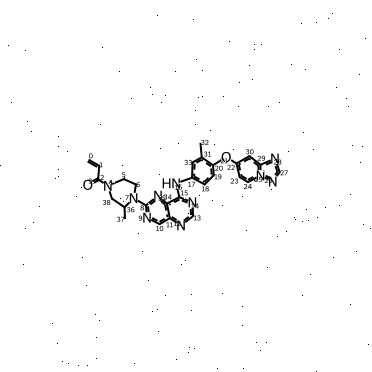 C=CC(=O)N1CCN(c2ncc3ncnc(Nc4ccc(Oc5ccn6ncnc6c5)c(C)c4)c3n2)C(C)C1